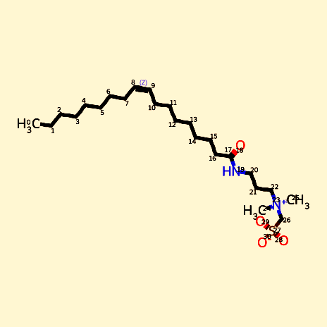 CCCCCCCC/C=C\CCCCCCCC(=O)NCCC[N+](C)(C)CS(=O)(=O)[O-]